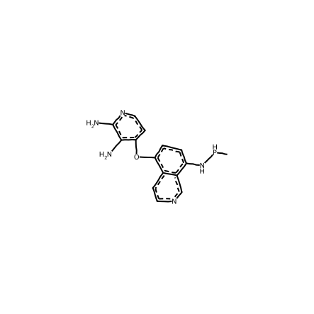 CPNc1ccc(Oc2ccnc(N)c2N)c2ccncc12